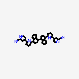 N#CC1=NCCC(c2cccc(-c3ccc(-c4ccc(C5=NC(c6ccnc(C#N)c6)CC=C5)c5ccccc45)c4ccccc34)n2)=C1